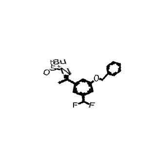 C/C(=N\[S@+]([O-])C(C)(C)C)c1cc(OCc2ccccc2)cc(C(F)F)c1